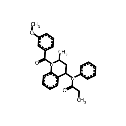 CCC(=O)N(c1ccccc1)C1CC(C)N(C(=O)c2cccc(OC)c2)c2ccccc21